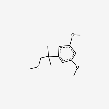 COc1cc(OC)cc(C(C)(C)CSC)c1